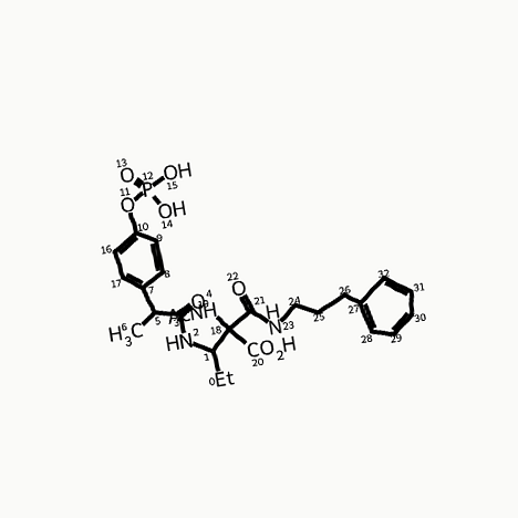 CCC(NC(=O)C(C)c1ccc(OP(=O)(O)O)cc1)C(NC(C)=O)(C(=O)O)C(=O)NCCCc1ccccc1